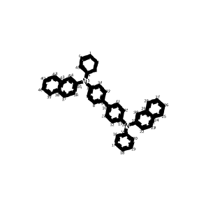 C1=CCCC(N(c2ccc(-c3ccc(N(c4ccccc4)c4ccc5ccccc5c4)cc3)cc2)c2ccc3ccccc3c2)=C1